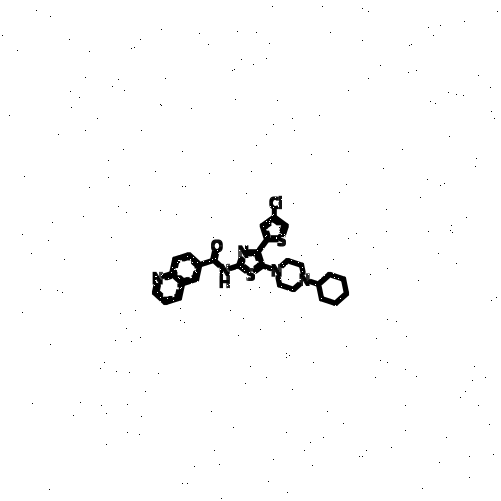 O=C(Nc1nc(-c2cc(Cl)cs2)c(N2CCN(C3CCCCC3)CC2)s1)c1ccc2ncccc2c1